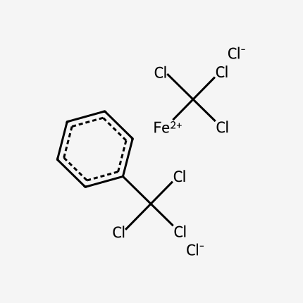 ClC(Cl)(Cl)c1ccccc1.Cl[C](Cl)(Cl)[Fe+2].[Cl-].[Cl-]